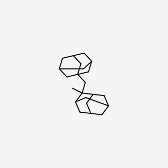 CC1(CC23CC4CC(CC(C4)C2)C3)C2CC3CC(C2)CC1C3